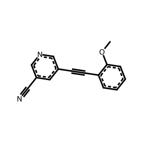 COc1ccccc1C#Cc1cncc(C#N)c1